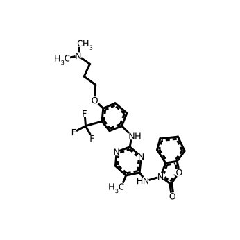 Cc1cnc(Nc2ccc(OCCCN(C)C)c(C(F)(F)F)c2)nc1Nn1c(=O)oc2ccccc21